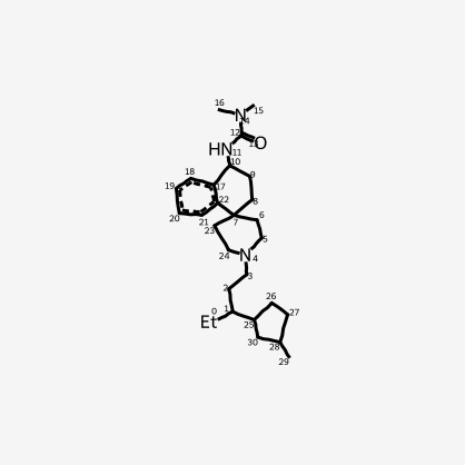 CCC(CCN1CCC2(CCC(NC(=O)N(C)C)c3ccccc32)CC1)C1CCC(C)C1